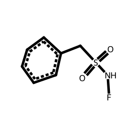 O=S(=O)(Cc1ccccc1)NF